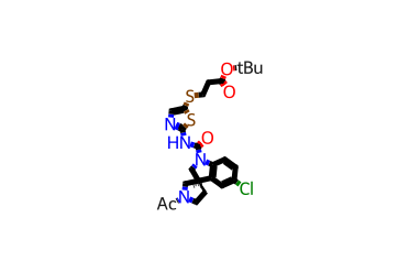 CC(=O)N1CC[C@@]2(C1)CN(C(=O)Nc1ncc(SCCC(=O)OC(C)(C)C)s1)c1ccc(Cl)cc12